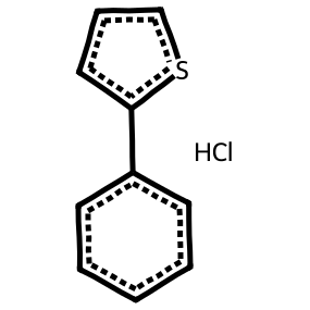 Cl.c1ccc(-c2cccs2)cc1